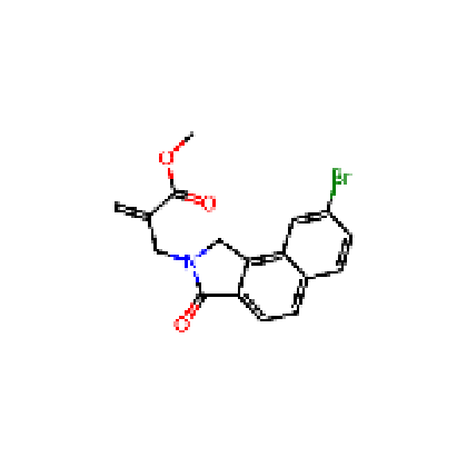 C=C(CN1Cc2c(ccc3ccc(Br)cc23)C1=O)C(=O)OC